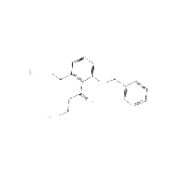 CCCCCCCCCCCCC(=O)c1c(CC(=O)OCC)cccc1OCc1ccccc1